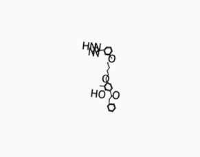 Cc1c(OCCCCOc2cccc(-c3nn[nH]n3)c2)ccc(C(=O)Cc2ccccc2)c1O